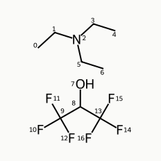 CCN(CC)CC.OC(C(F)(F)F)C(F)(F)F